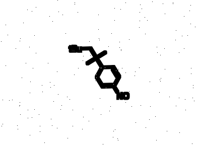 CC(C)(C)CC(C)(C)C1C=CC(N=O)=CC1